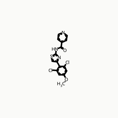 COc1cc(Cl)c(-c2csc(NC(=O)c3ccncc3)n2)c(Cl)c1